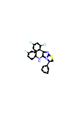 Fc1ccc(Nc2c(-c3ccc(F)cc3Cl)nc3scc(-c4ccccc4)n23)cc1